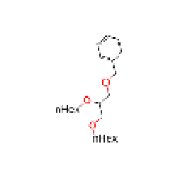 CCCCCCOCC(COCc1ccccc1)OCCCCCC